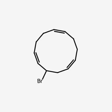 BrC1/C=C\CC/C=C\CC/C=C\C1